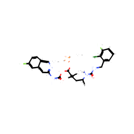 COP(=O)(OC)OC(OC(=O)Nc1cc2cc(F)ccc2cn1)C(C)(C)CC(C)N(C)C(=O)NCc1cccc(F)c1Cl